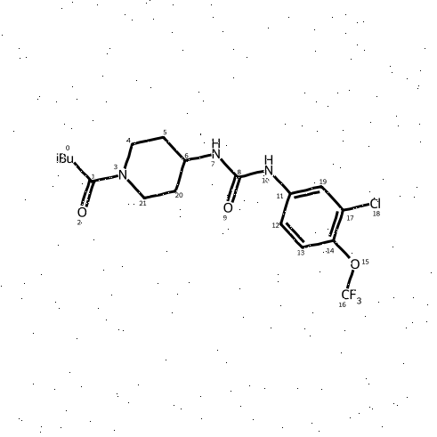 CCC(C)C(=O)N1CCC(NC(=O)Nc2ccc(OC(F)(F)F)c(Cl)c2)CC1